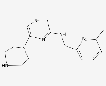 Cc1cccc(CNc2cncc(N3CCNCC3)n2)n1